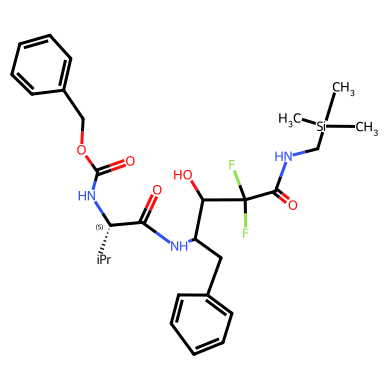 CC(C)[C@H](NC(=O)OCc1ccccc1)C(=O)NC(Cc1ccccc1)C(O)C(F)(F)C(=O)NC[Si](C)(C)C